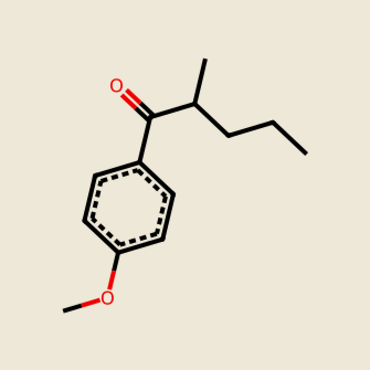 CCCC(C)C(=O)c1ccc(OC)cc1